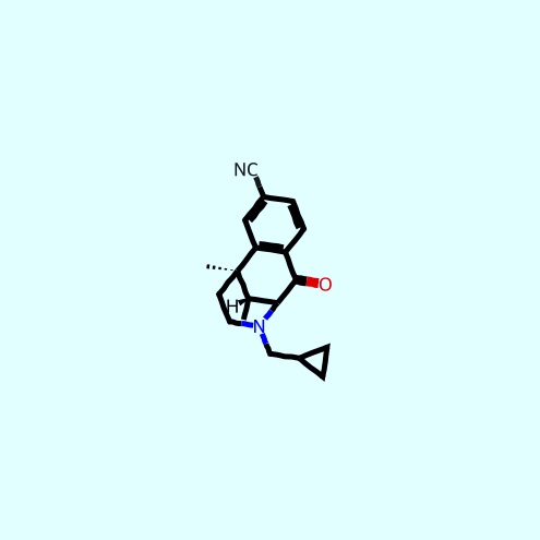 C[C@H]1C2C(=O)c3ccc(C#N)cc3[C@]1(C)CCN2CC1CC1